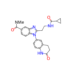 CNC(=O)c1ccc2c(c1)nc(CCNC(=O)C1CC1)n2-c1ccc2c(c1)CCC(=O)N2